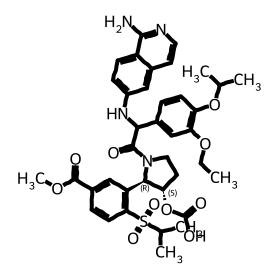 CCOc1cc(C(Nc2ccc3c(N)nccc3c2)C(=O)N2CC[C@H](OC(=O)O)[C@H]2c2cc(C(=O)OC)ccc2S(=O)(=O)C(C)C)ccc1OC(C)C